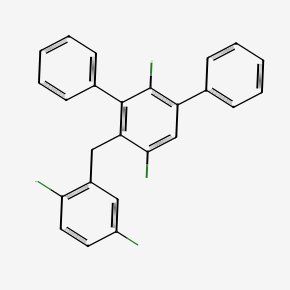 Clc1ccc(Cl)c(Cc2c(Cl)cc(-c3ccccc3)c(Cl)c2-c2ccccc2)c1